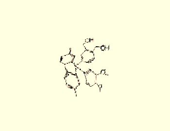 COc1ccc(C2(c3ccc(CO)c(CO)c3)c3cc(C)ccc3-c3ccc(C)cc32)cc1OC